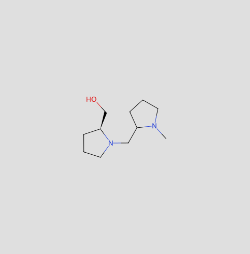 CN1CCCC1CN1CCC[C@H]1CO